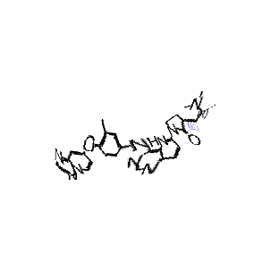 Cc1cc(Nc2ncnc3ccc(N4CC/C(=C\[C@@H](C)N(C)C)C4=O)nc23)ccc1Oc1ccn2ncnc2c1